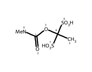 CNC(=O)OC(C)(S(=O)(=O)O)S(=O)(=O)O